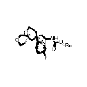 CC(C)(C)OC(=O)NCC[C@@]1(c2ccc(F)cn2)CCO[C@@]2(CCOC2)C1